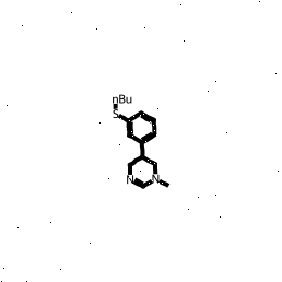 CCCCSc1cccc(C2CN=CN(C)C2)c1